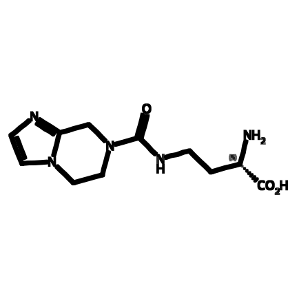 N[C@@H](CCNC(=O)N1CCn2ccnc2C1)C(=O)O